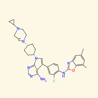 Cc1cc(C)c2oc(Nc3ccc(-c4cn([C@H]5CC[C@@H](N6CCN(C7CC7)CC6)CC5)c5ncnc(N)c45)cc3F)nc2c1